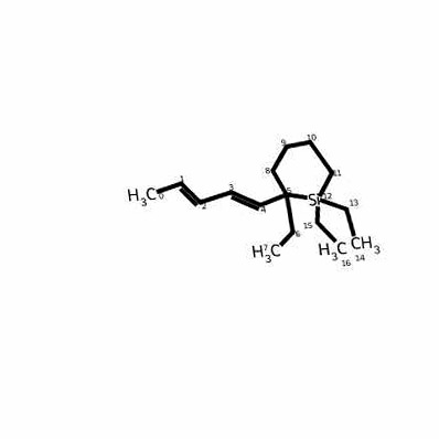 CC=CC=CC1(CC)CCCC[Si]1(CC)CC